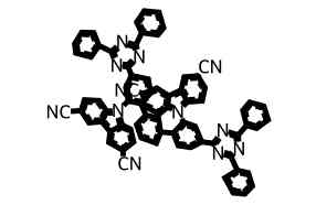 N#Cc1ccc2c(c1)c1cc(C#N)ccc1n2-c1cc(-c2nc(-c3ccccc3)nc(-c3ccccc3)n2)ccc1-c1cccc(-c2ccc(-c3nc(-c4ccccc4)nc(-c4ccccc4)n3)cc2-n2c3ccc(C#N)cc3c3cc(C#N)ccc32)c1